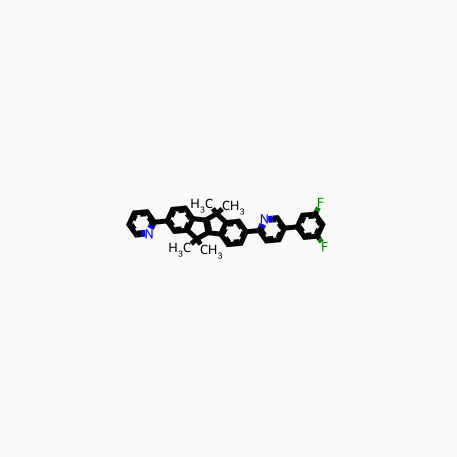 CC1(C)C2=C(c3ccc(-c4ccccn4)cc31)C(C)(C)c1cc(-c3ccc(-c4cc(F)cc(F)c4)cn3)ccc12